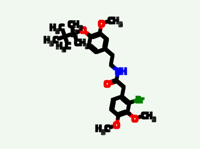 COc1cc(CCNC(=O)Cc2ccc(OC)c(OC)c2Br)ccc1O[Si](C)(C)C(C)(C)C